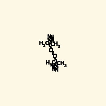 CC(C)(CCOCCOCCC(C)(C)n1cnnn1)n1cnnn1